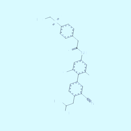 CCS(=O)(=O)c1ccc(CC(=O)Nc2cc(Cl)c(-c3ccc(CC(C)C)c(C#N)c3)c(Cl)c2)cc1